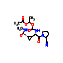 CNC(=O)[C@H]1C[C@@H]1[C@H](NC(=O)OC(C)OC(C)=O)C(=O)N1CCCC1C#N